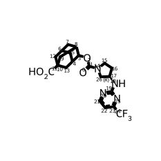 O=C(OC1C2CC3CC1CC(C(=O)O)(C3)C2)N1CC[C@@H](Nc2nccc(C(F)(F)F)n2)C1